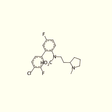 CN1CCCC1CCN(C(=O)O)c1ccc(F)cc1-c1ccc(Cl)c(F)c1